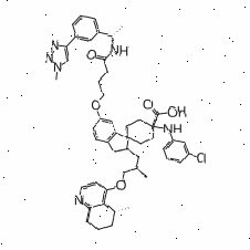 C[C@@H](COc1ccnc2c1[C@H](C)CCC2)C[C@H]1Cc2ccc(OCCCC(=O)N[C@@H](C)c3cccc(-c4cn(C)nn4)c3)cc2C12CCC(Nc1cccc(Cl)c1)(C(=O)O)CC2